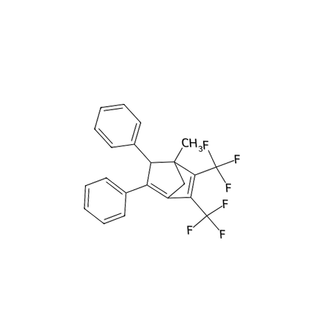 CC12CC(=C(c3ccccc3)C1c1ccccc1)C(C(F)(F)F)=C2C(F)(F)F